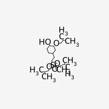 CO[Si](CCC1CCC(O)C(OCC(C)C)C1)(OCC(C)C)OCC(C)C